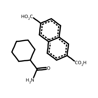 NC(=O)C1CCCCC1.O=C(O)c1ccc2cc(C(=O)O)ccc2c1